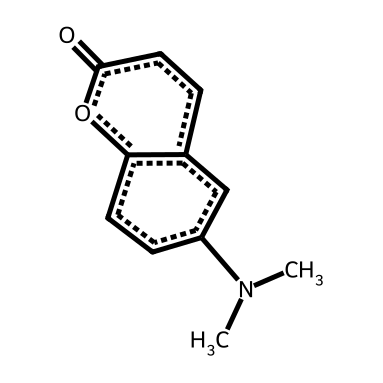 CN(C)c1ccc2oc(=O)ccc2c1